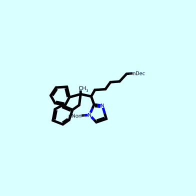 CCCCCCCCCCCCCCCC(c1nccn1CCCCCCCCC)C(C)(Cc1ccccc1)c1ccccc1